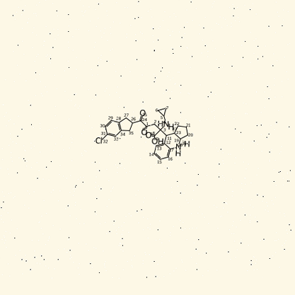 O=C(CC(NC1CC1)(C(=O)O)C1c2ccccc2N[C@@H]2CCC[C@H]12)C(=O)C1Cc2ccc(Cl)cc2C1